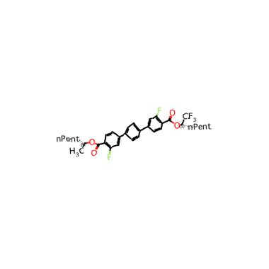 CCCCC[C@@H](C)OC(=O)c1ccc(-c2ccc(-c3ccc(C(=O)O[C@@H](CCCCC)C(F)(F)F)c(F)c3)cc2)cc1F